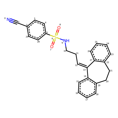 N#Cc1ccc(S(=O)(=O)NCCC=C2c3ccccc3CCc3ccccc32)cc1